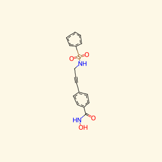 O=C(NO)c1ccc(C#CCNS(=O)(=O)c2ccccc2)cc1